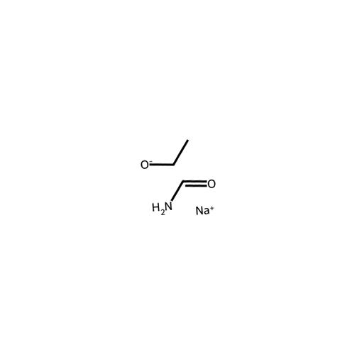 CC[O-].NC=O.[Na+]